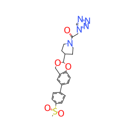 CS(=O)(=O)c1ccc(-c2ccc3c(c2)COC(C2CCN(C(=O)Cn4cnnn4)CC2)O3)cc1